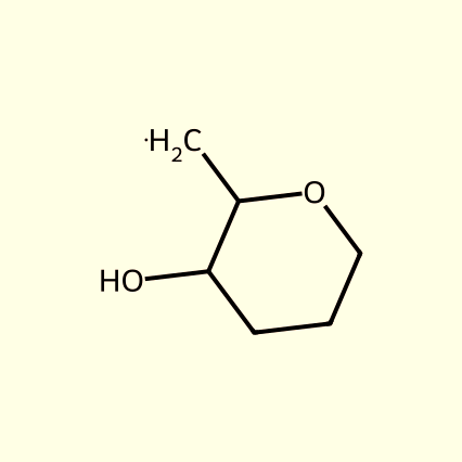 [CH2]C1OCCCC1O